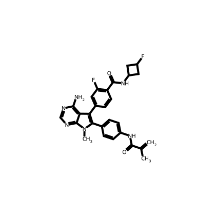 C=C(C)C(=O)Nc1ccc(-c2c(-c3ccc(C(=O)NC4CC(F)C4)c(F)c3)c3c(N)ncnc3n2C)cc1